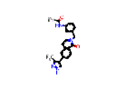 CC(C)C(=O)Nc1cccc(Cn2ccc3cc(-c4c[nH]nc4C(F)(F)F)ccc3c2=O)c1